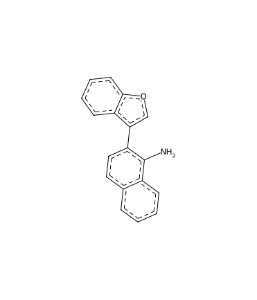 Nc1c(-c2coc3ccccc23)ccc2ccccc12